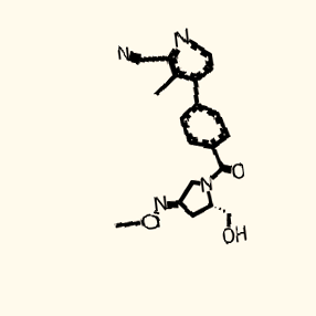 CO/N=C1\C[C@@H](CO)N(C(=O)c2ccc(-c3ccnc(C#N)c3C)cc2)C1